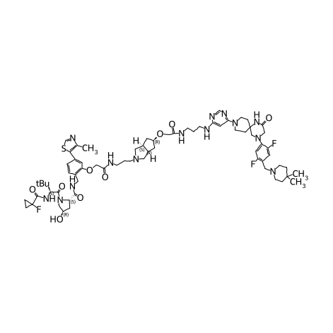 Cc1ncsc1-c1ccc(CNC(=O)[C@@H]2C[C@@H](O)CN2C(=O)[C@@H](NC(=O)C2(F)CC2)C(C)(C)C)c(OCC(=O)NCCCN2C[C@H]3C[C@@H](OCC(=O)NCCCNc4cc(N5CCC6(CC5)CN(c5cc(F)c(CN7CCC(C)(C)CC7)cc5F)CC(=O)N6)ncn4)C[C@H]3C2)c1